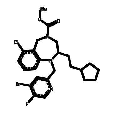 CC(C)(C)OC(=O)N1Cc2c(Cl)cccc2N(Cc2cc(Br)c(F)cn2)C(CCC2CCCC2)C1